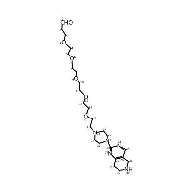 O=CCCOCCOCCOCCOCCOCCN1CCN(c2ncc3c(n2)CCNC3)CC1